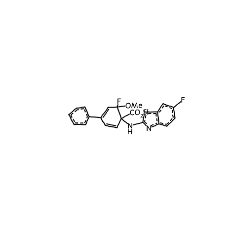 COC1(F)C=C(c2ccccc2)C=CC1(Nc1nc2ccc(F)cc2s1)C(=O)O